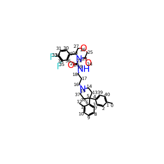 Cc1ccc(C2(c3ccccc3C)CCN(CCCNC(=O)N3C(=O)COCC3c3ccc(F)c(F)c3)CC2)cc1